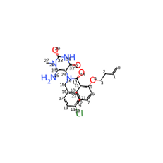 C=CCCOc1ccc(C)cc1C(=O)N(Cc1ccc(Cl)cc1)c1c(N)n(C)c(=O)[nH]c1=O